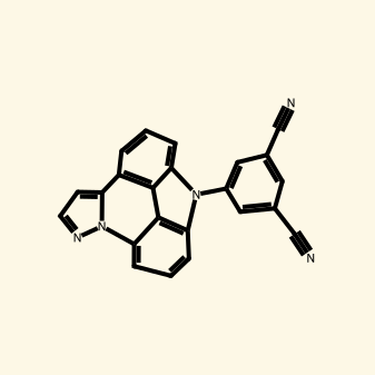 N#Cc1cc(C#N)cc(-n2c3cccc4c3c3c2cccc3n2nccc42)c1